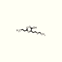 CCCC(=O)OC(CCSCC)C(=O)O